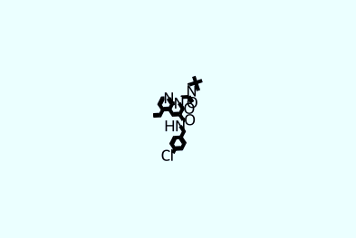 C=Cc1ccnc2c1cc(C(=O)NCc1ccc(Cl)cc1)c(=O)n2CC(=O)N1CC(C)(C)C1